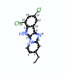 CCc1ccn2c(c1)nc1c3cc(Cl)cc(Cl)c3[nH]c12